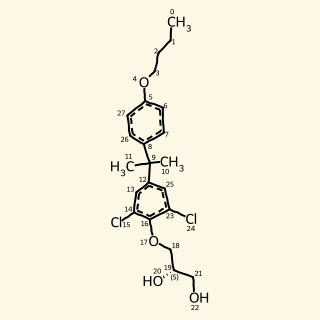 CCCCOc1ccc(C(C)(C)c2cc(Cl)c(OC[C@@H](O)CO)c(Cl)c2)cc1